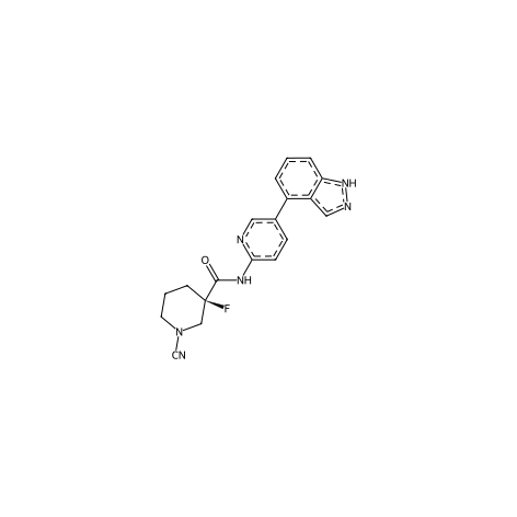 N#CN1CCC[C@](F)(C(=O)Nc2ccc(-c3cccc4[nH]ncc34)cn2)C1